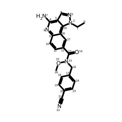 CCn1ncc2c(N)nc3ccc(C(=O)N(Cc4ccc(C#N)cc4)OC)cc3c21